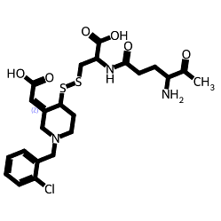 CC(=O)C(N)CCC(=O)NC(CSSC1CCN(Cc2ccccc2Cl)C/C1=C/C(=O)O)C(=O)O